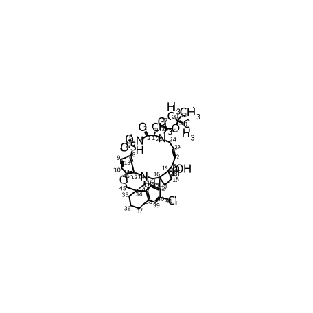 C[C@@H]1C(=O)NS(=O)(=O)c2ccc3c(c2)N(C[C@@H]2CC[C@H]2[C@@H](O)C=CCN1C(=O)OC(C)(C)C)C[C@@]1(CCCc2cc(Cl)ccc21)CO3